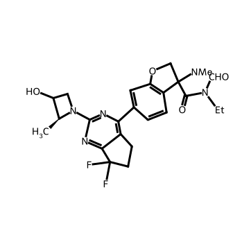 CCN(C=O)C(=O)C1(NC)COc2cc(-c3nc(N4CC(O)[C@@H]4C)nc4c3CCC4(F)F)ccc21